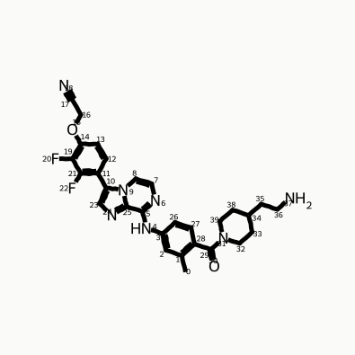 Cc1cc(Nc2nccn3c(-c4ccc(OCC#N)c(F)c4F)cnc23)ccc1C(=O)N1CCC(CCN)CC1